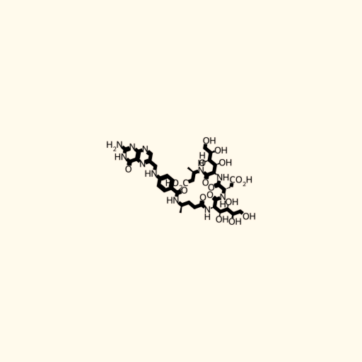 C[C@H](CCC(=O)N[C@H](C(=O)N[C@@H](CC(=O)O)C(=O)N[C@H](C(=O)N[C@H](C)CC(=O)O)[C@@H](O)[C@H](O)[C@H](O)CO)[C@@H](O)[C@H](O)[C@H](O)CO)NC(=O)c1ccc(NCc2cnc3nc(N)[nH]c(=O)c3n2)cc1